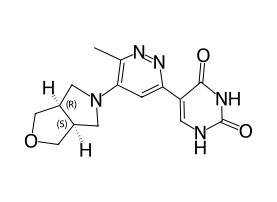 Cc1nnc(-c2c[nH]c(=O)[nH]c2=O)cc1N1C[C@H]2COC[C@H]2C1